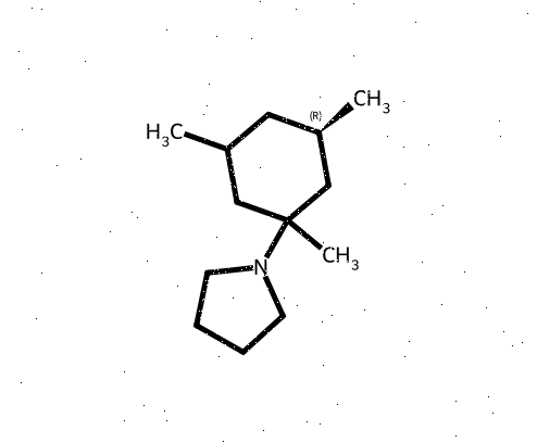 CC1C[C@@H](C)CC(C)(N2CCCC2)C1